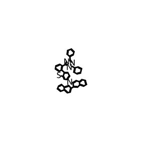 c1ccc(-c2nc(-c3ccccc3)nc(-c3cccc4sc5cc(-n6c7cc8ccccc8cc7c7ccc8ccccc8c76)ccc5c34)n2)cc1